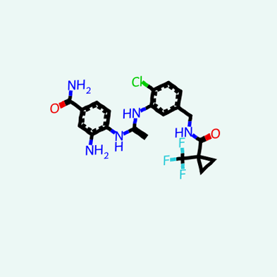 C=C(Nc1ccc(C(N)=O)cc1N)Nc1cc(CNC(=O)C2(C(F)(F)F)CC2)ccc1Cl